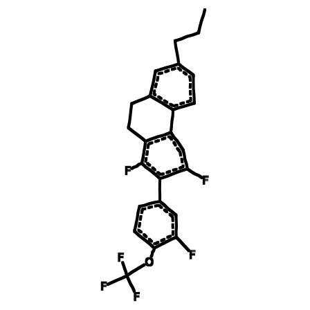 CCCc1ccc2c(c1)CCc1c-2cc(F)c(-c2ccc(OC(F)(F)F)c(F)c2)c1F